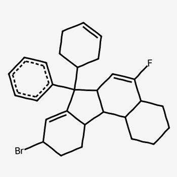 FC1=CC2C(C3CCC(Br)C=C3C2(c2ccccc2)C2CC=CCC2)C2CCCCC12